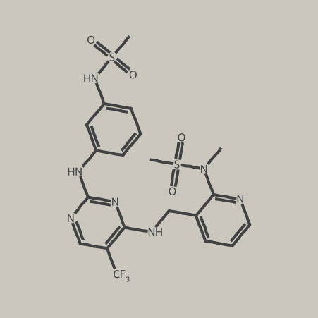 CN(c1ncccc1CNc1nc(Nc2cccc(NS(C)(=O)=O)c2)ncc1C(F)(F)F)S(C)(=O)=O